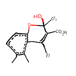 CCC1=C(C(=O)O)C(O)(C(F)(F)F)Oc2ccc(C)c(C)c21